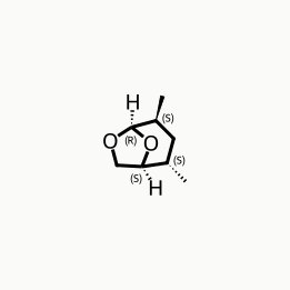 C[C@H]1C[C@H](C)[C@H]2CO[C@@H]1O2